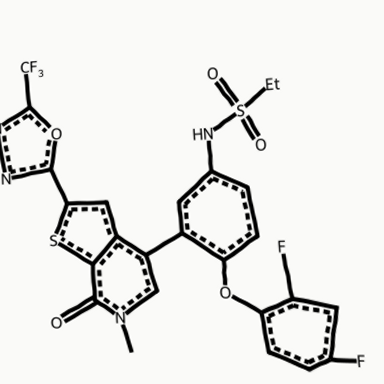 CCS(=O)(=O)Nc1ccc(Oc2ccc(F)cc2F)c(-c2cn(C)c(=O)c3sc(-c4nnc(C(F)(F)F)o4)cc23)c1